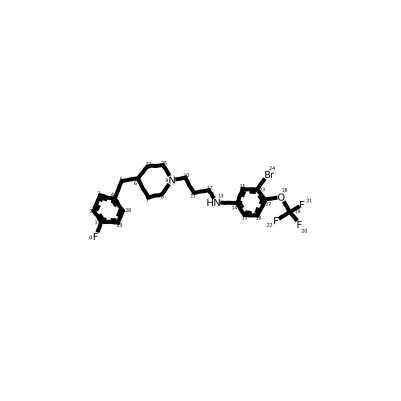 Fc1ccc(CC2CCN(CCCNc3ccc(OC(F)(F)F)c(Br)c3)CC2)cc1